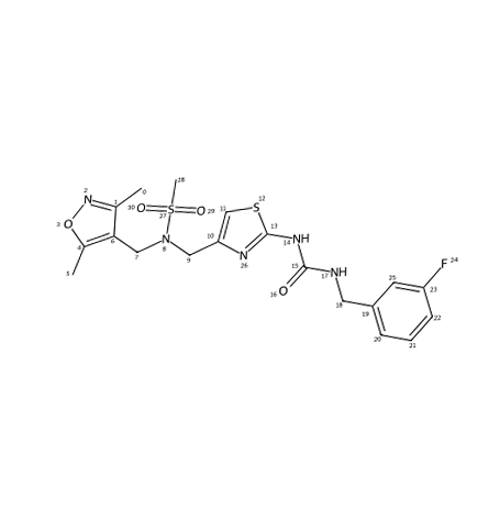 Cc1noc(C)c1CN(Cc1csc(NC(=O)NCc2cccc(F)c2)n1)S(C)(=O)=O